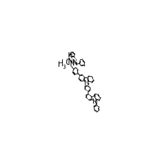 CNN(CC1C=CC(c2ccc3c(c2)c2c(n3-c3ccc(C4C=CC=C5C4c4ccccc4N5c4ccccc4)cc3)C=CCC2)=CC1)N(Cc1ccccc1)Cc1ccccc1